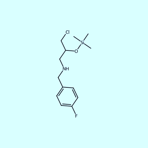 C[Si](C)(C)OC(CCl)CNCc1ccc(F)cc1